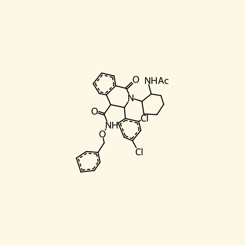 CC(=O)NC1CCCCC1N1C(=O)c2ccccc2C(C(=O)NOCc2ccccc2)C1c1ccc(Cl)cc1Cl